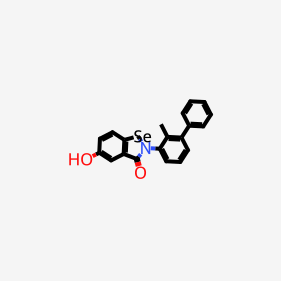 Cc1c(-c2ccccc2)cccc1-n1[se]c2ccc(O)cc2c1=O